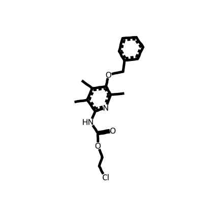 Cc1nc(NC(=O)OCCCl)c(C)c(C)c1OCc1ccccc1